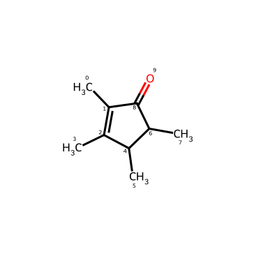 CC1=C(C)C(C)C(C)C1=O